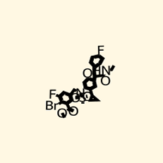 CCNC(=O)c1c(-c2ccc(F)cc2)oc2cc(N(Cc3cc(F)c(Br)c(C(=O)OC)c3)S(C)(=O)=O)c(C3CC3)cc12